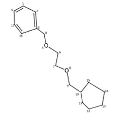 [c]1ccc(COCCOCC2CCCCC2)cc1